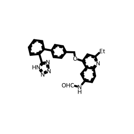 CCc1cc(OCc2ccc(-c3ccccc3-c3nnn[nH]3)cc2)c2cc(NC=O)ccc2n1